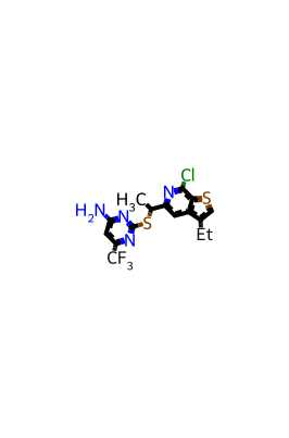 CCc1csc2c(Cl)nc(C(C)Sc3nc(N)cc(C(F)(F)F)n3)cc12